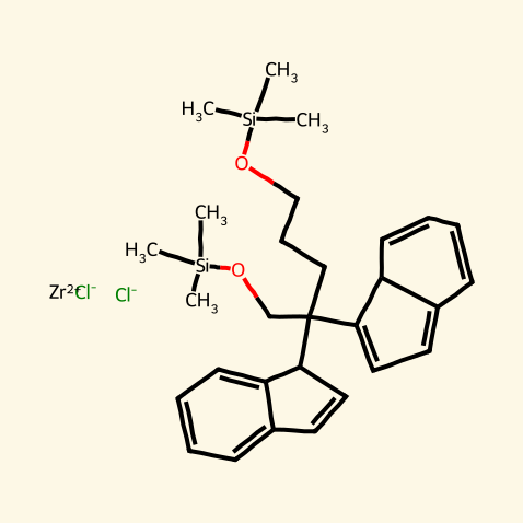 C[Si](C)(C)OCCCC(CO[Si](C)(C)C)(C1=CC=C2C=CC=CC21)C1C=Cc2ccccc21.[Cl-].[Cl-].[Zr+2]